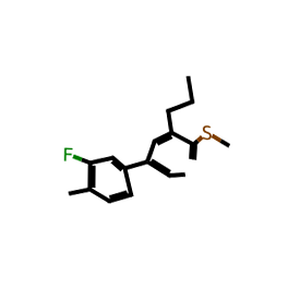 C=C(SC)/C(=C\C(=C/C)c1ccc(C)c(F)c1)CCC